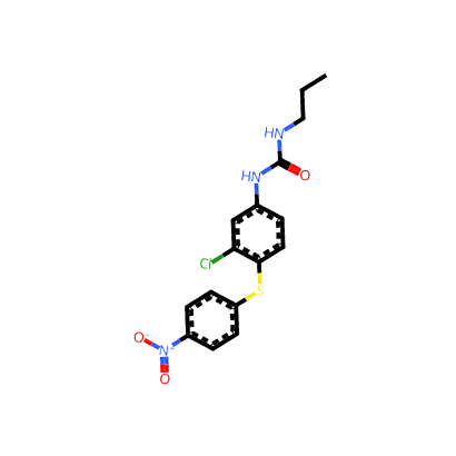 CCCNC(=O)Nc1ccc(Sc2ccc([N+](=O)[O-])cc2)c(Cl)c1